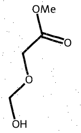 COC(=O)COCO